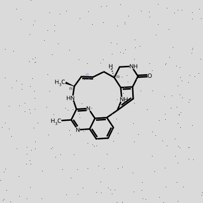 Cc1nc2cccc3c2nc1N[C@@H](C)/C=C/C[C@H]1CNC(=O)c2cc-3[nH]c21